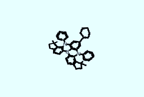 CC1(C)CCc2ccc3c(c21)N(c1ccccc1)c1cc(C2CCCCC2)cc2c1B3c1ccc3c(c1N2c1ccccc1)C(C)(C)CC3